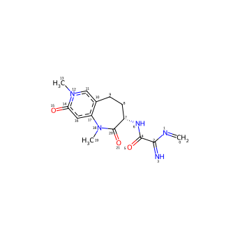 C=NC(=N)C(=O)N[C@H]1CCc2cn(C)c(=O)cc2N(C)C1=O